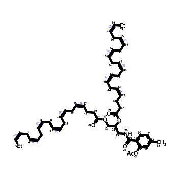 CC/C=C\C/C=C\C/C=C\C/C=C\C/C=C\C/C=C\CCC(=O)OCC(CNC(=O)c1ccc(C)cc1OC(C)=O)OC(=O)CC/C=C\C/C=C\C/C=C\C/C=C\C/C=C\C/C=C\CC